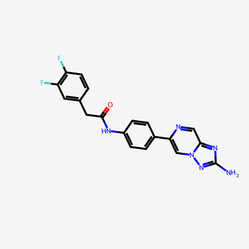 Nc1nc2cnc(-c3ccc(NC(=O)Cc4ccc(F)c(F)c4)cc3)cn2n1